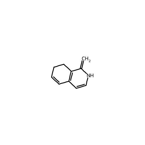 C=C1NC=CC2=C1CCC=C2